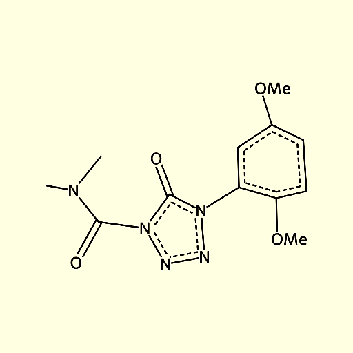 COc1ccc(OC)c(-n2nnn(C(=O)N(C)C)c2=O)c1